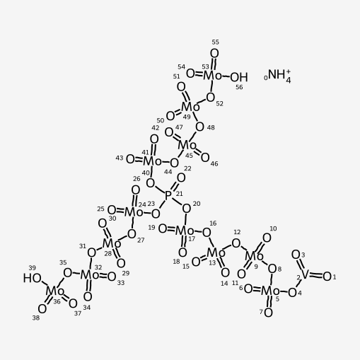 [NH4+].[O]=[V](=[O])[O][Mo](=[O])(=[O])[O][Mo](=[O])(=[O])[O][Mo](=[O])(=[O])[O][Mo](=[O])(=[O])[O]P(=O)([O][Mo](=[O])(=[O])[O][Mo](=[O])(=[O])[O][Mo](=[O])(=[O])[O][Mo](=[O])(=[O])[OH])[O][Mo](=[O])(=[O])[O][Mo](=[O])(=[O])[O][Mo](=[O])(=[O])[O][Mo](=[O])(=[O])[OH]